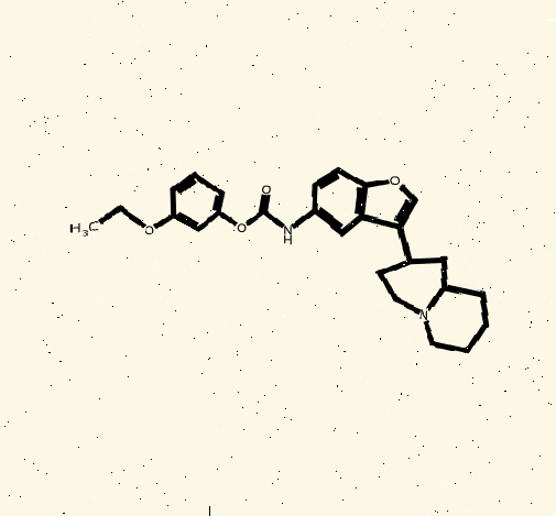 CCOc1cccc(OC(=O)Nc2ccc3occ(C4CCN5CCCCC5C4)c3c2)c1